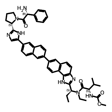 CC[C@@H](c1nc2ccc3cc(-c4ccc5cc(-c6cnc([C@@H]7CCCN7C(=O)[C@H](N)c7ccccc7)[nH]6)ccc5c4)ccc3c2[nH]1)N(CC)C(=O)[C@@H](NC(=O)OC)C(C)C